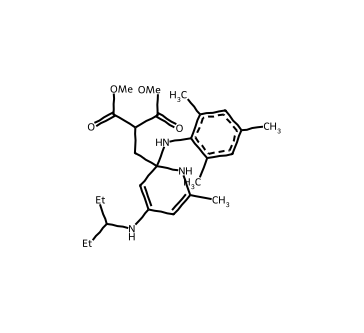 CCC(CC)NC1=CC(CC(C(=O)OC)C(=O)OC)(Nc2c(C)cc(C)cc2C)NC(C)=C1